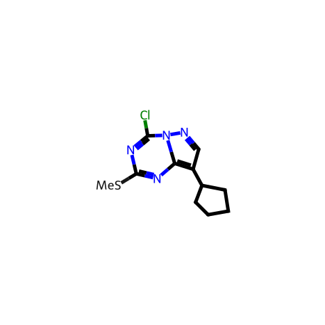 CSc1nc(Cl)n2ncc(C3CCCC3)c2n1